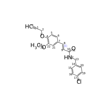 C#CCOc1ccc(/C=C/C(=O)NCc2ccc(Cl)cc2)cc1OC